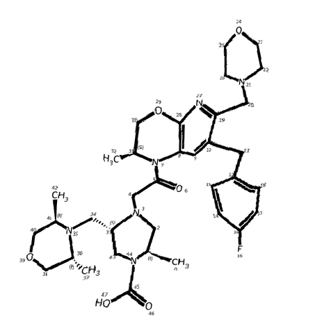 C[C@@H]1CN(CC(=O)N2c3cc(Cc4ccc(F)cc4)c(CN4CCOCC4)nc3OC[C@@H]2C)[C@@H](CN2[C@H](C)COC[C@H]2C)CN1C(=O)O